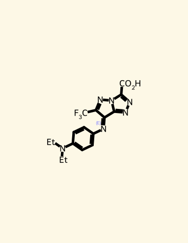 CCN(CC)c1ccc(/N=C2\C(C(F)(F)F)=Nn3c(C(=O)O)nnc32)cc1